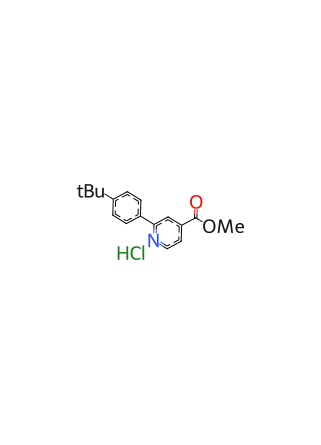 COC(=O)c1ccnc(-c2ccc(C(C)(C)C)cc2)c1.Cl